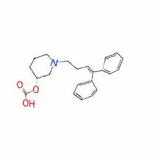 O=C(O)O[C@@H]1CCCN(CCC=C(c2ccccc2)c2ccccc2)C1